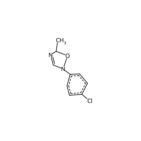 CC1N=CN(c2ccc(Cl)cc2)O1